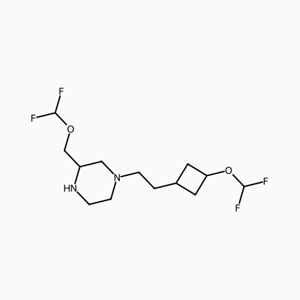 FC(F)OCC1CN(CCC2CC(OC(F)F)C2)CCN1